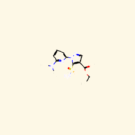 CCOC(=O)c1cnn(-c2cccc(N(C)C)n2)c1S(N)(=O)=O